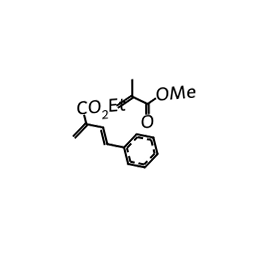 C=C(C)C(=O)OC.C=C(C=Cc1ccccc1)C(=O)OCC